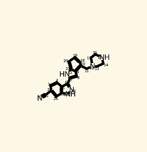 N#Cc1ccc2c(-c3cc4c(CN5CCNCC5)cccc4[nH]3)n[nH]c2c1